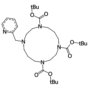 CC(C)(C)OC(=O)N1CCCN(C(=O)OC(C)(C)C)CCN(C(=O)OC(C)(C)C)CCCN(Cc2ccccn2)CC1